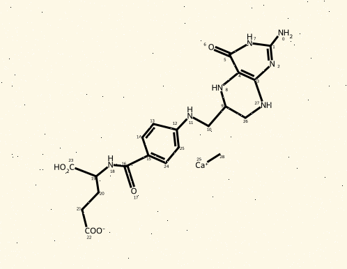 Nc1nc2c(c(=O)[nH]1)NC(CNc1ccc(C(=O)NC(CCC(=O)[O-])C(=O)O)cc1)CN2.[CH3][Ca+]